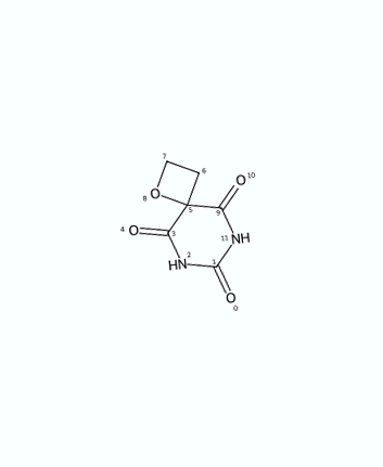 O=C1NC(=O)C2(CCO2)C(=O)N1